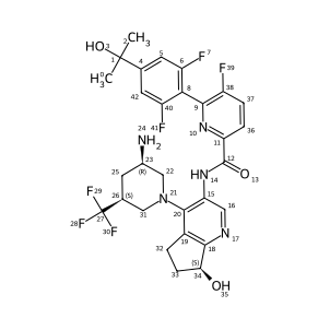 CC(C)(O)c1cc(F)c(-c2nc(C(=O)Nc3cnc4c(c3N3C[C@H](N)C[C@H](C(F)(F)F)C3)CC[C@@H]4O)ccc2F)c(F)c1